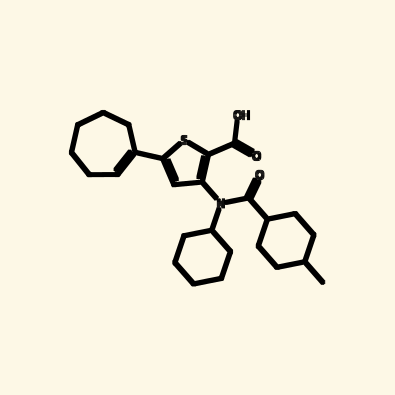 CC1CCC(C(=O)N(c2cc(C3=CCCCCC3)sc2C(=O)O)C2CCCCC2)CC1